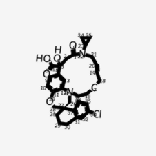 O=C1CC(O)(C(=O)O)c2ccc3c(c2)N(CCCC/C=C/CN1C1CC1)C[C@@]1(CCCc2cc(Cl)ccc21)CO3